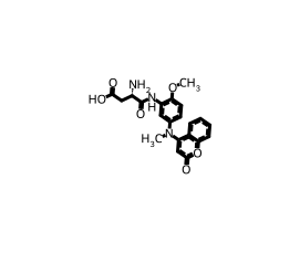 COc1ccc(N(C)c2cc(=O)oc3ccccc23)cc1NC(=O)[C@@H](N)CC(=O)O